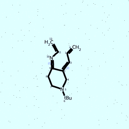 C=C/C=C1/CN(C(C)(C)C)CC/C1=N/C=C